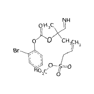 C=CCS(=O)(=O)OC(=O)O.CC(C)(C=N)OC(=O)Oc1ccccc1Br